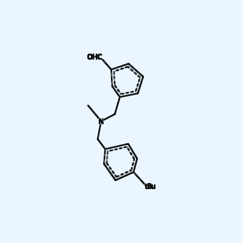 CN(Cc1ccc(C(C)(C)C)cc1)Cc1cccc(C=O)c1